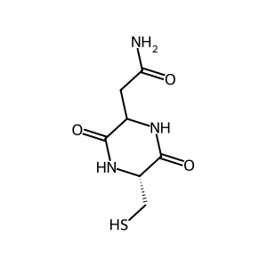 NC(=O)CC1NC(=O)[C@H](CS)NC1=O